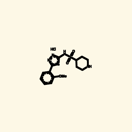 COc1ccccc1-c1nnc(NS(=O)(=O)C2CCNCC2)s1.Cl